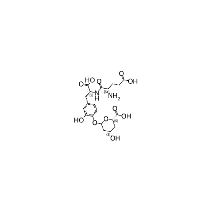 N[C@@H](CCC(=O)O)C(=O)N[C@@H](Cc1ccc(OC2C[C@@H](O)C[C@@H](C(=O)O)O2)c(O)c1)C(=O)O